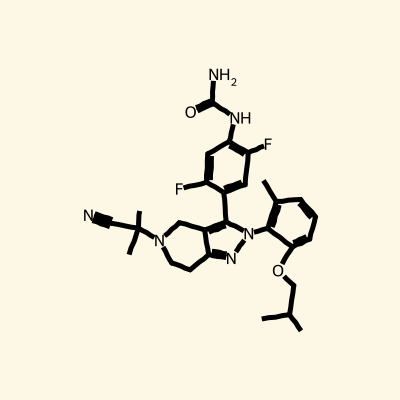 Cc1cccc(OCC(C)C)c1-n1nc2c(c1-c1cc(F)c(NC(N)=O)cc1F)CN(C(C)(C)C#N)CC2